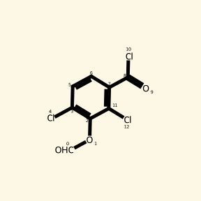 O=COc1c(Cl)ccc(C(=O)Cl)c1Cl